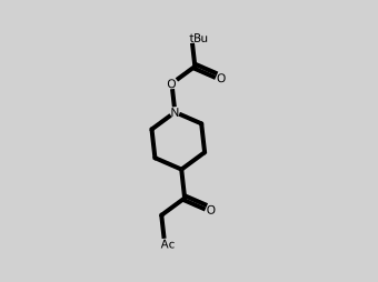 CC(=O)CC(=O)C1CCN(OC(=O)C(C)(C)C)CC1